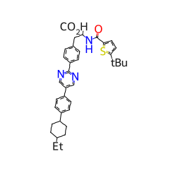 CCC1CCC(c2ccc(-c3cnc(-c4ccc(CC(NC(=O)c5ccc(C(C)(C)C)s5)C(=O)O)cc4)nc3)cc2)CC1